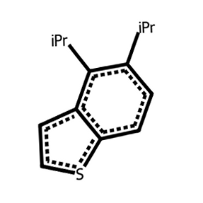 CC(C)c1ccc2sccc2c1C(C)C